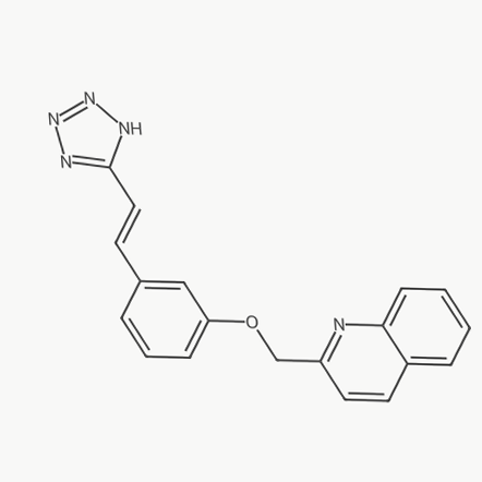 C(=Cc1nnn[nH]1)c1cccc(OCc2ccc3ccccc3n2)c1